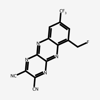 N#Cc1nc2nc3cc(C(F)(F)F)cc(CF)c3nc2nc1C#N